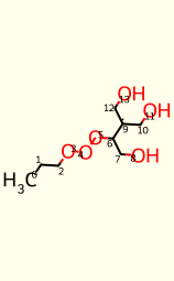 CCCOOOC(CO)[C](CO)CO